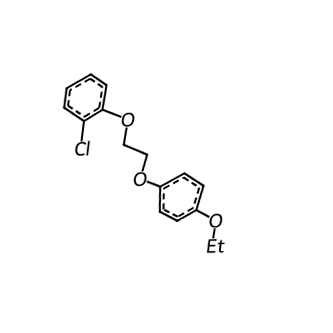 CCOc1ccc(OCCOc2ccccc2Cl)cc1